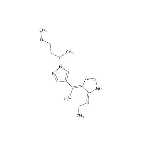 CC/N=C1/NC=C/C1=C(/C)c1cnn(C(C)CCOC)c1